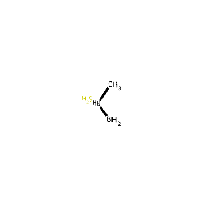 BBC.S